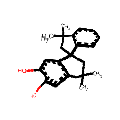 CC1(C)CC2(CC(C)(C)c3cc(O)c(O)cc32)c2ccccc21